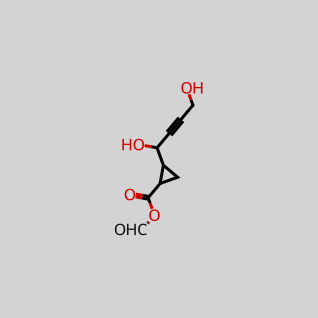 O=COC(=O)C1CC1C(O)C#CCO